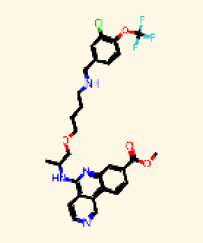 COC(=O)c1ccc2c(c1)nc(NC(C)COCCCCNCc1ccc(OC(F)(F)F)c(Cl)c1)c1ccncc12